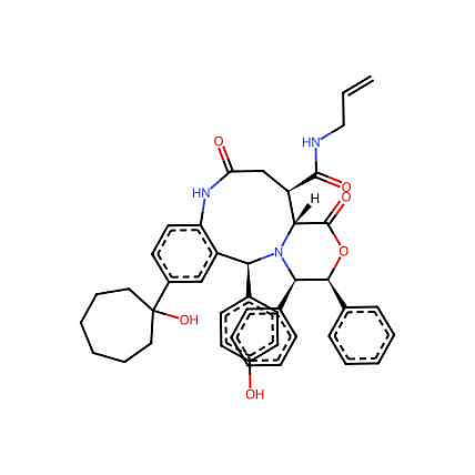 C=CCNC(=O)[C@@H]1CC(=O)Nc2ccc(C3(O)CCCCCC3)cc2[C@H](c2ccc(O)cc2)N2[C@H](c3ccccc3)[C@H](c3ccccc3)OC(=O)[C@@H]12